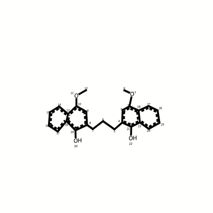 COc1cc(CCCc2cc(OC)c3ccccc3c2O)c(O)c2ccccc12